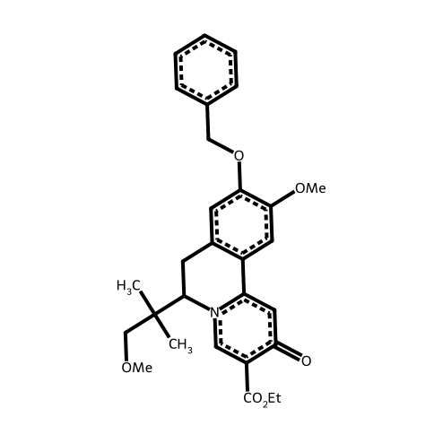 CCOC(=O)c1cn2c(cc1=O)-c1cc(OC)c(OCc3ccccc3)cc1CC2C(C)(C)COC